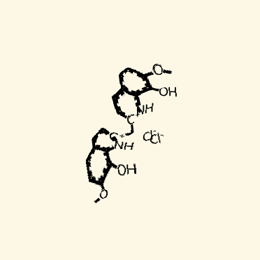 COc1ccc2cc[c+](C[c+]3ccc4ccc(OC)c(O)c4[nH]3)[nH]c2c1O.[Cl-].[Cl-]